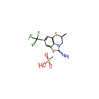 CC1Cn2c(=N)sc3cc(C(F)(F)F)cc(c32)S1.CS(=O)(=O)O